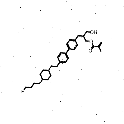 C=C(C)C(=O)OCC(CO)Cc1ccc(-c2ccc(CCC3CCC(CCCCF)CC3)cc2)cc1